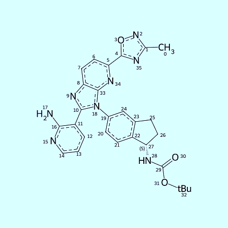 Cc1noc(-c2ccc3nc(-c4cccnc4N)n(-c4ccc5c(c4)CC[C@@H]5NC(=O)OC(C)(C)C)c3n2)n1